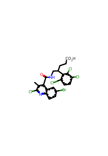 Cc1c(Cl)nc2ccc(Br)cc2c1C(=O)NCC(CCC(=O)O)c1c(Cl)ccc(Cl)c1Cl